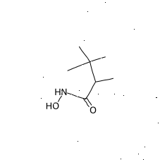 CC(C(=O)NO)C(C)(C)C